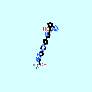 OC(c1cn(-c2ccc(N3CCN(c4ccc(-c5ccc(C(F)(F)C6(O)Cn7nnnc7-c7ccccc76)nc5)cc4)CC3)cn2)nn1)C(F)(F)F